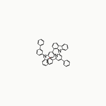 c1ccc(-c2cccc(-n3c4ccccc4c4ccc(-c5cccc6c7ccccc7n(-c7cc(-c8ccccc8)cc(-c8ccccc8)n7)c56)cc43)c2)cc1